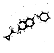 O=C(Nc1cc2ccc(OC3CCCCC3)cc2cn1)C1CC1